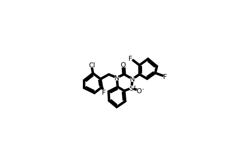 O=C1N(Cc2c(F)cccc2Cl)c2ccccc2[S+]([O-])N1c1cc(F)ccc1F